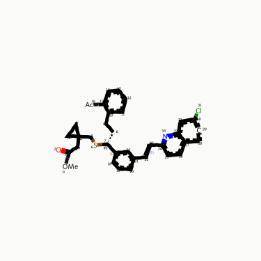 COC(=O)CC1(CS[C@H](CCc2ccccc2C(C)=O)c2cccc(/C=C/c3ccc4ccc(Cl)cc4n3)c2)CC1